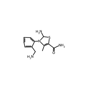 CC1=C(C(N)=O)SC(N)N1c1ccccc1CN